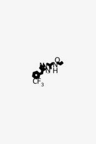 C=CC(=O)NCC1CN(C)c2c(Cc3cccc(C(F)(F)F)c3)cnn2C1